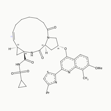 COc1ccc2c(O[C@@H]3C[C@H]4C(=O)N[C@]5(C(=O)NS(=O)(=O)C6CC6)C[C@H]5/C=C\CCCCCC(=O)N4C3)cc(-c3nc(C(C)C)cs3)nc2c1C